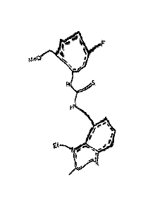 CCn1c(C)nc2cccc(NC(=S)Nc3cc(F)ccc3OC)c21